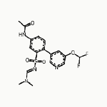 CC(=O)Nc1ccc(-c2cncc(OC(F)F)c2)c(S(=O)(=O)N=CN(C)C)c1